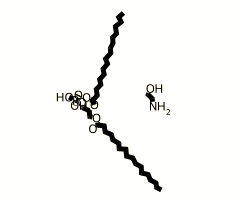 CCCCCCCCCCCCCCCCCC(=O)OCC(COP(=O)(O)O)OC(=O)CCCCCCCCCCCCCCCCC.NCCO